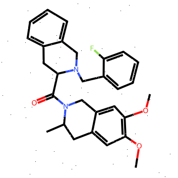 COc1cc2c(cc1OC)CN(C(=O)C1Cc3ccccc3CN1Cc1ccccc1F)C(C)C2